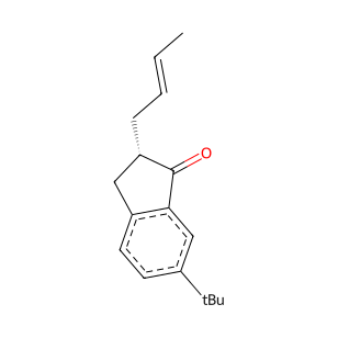 CC=CC[C@H]1Cc2ccc(C(C)(C)C)cc2C1=O